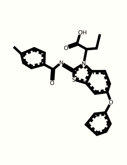 CCC(C(=O)O)n1c(=NC(=O)c2ccc(C)cc2)sc2cc(Oc3ccccc3)ccc21